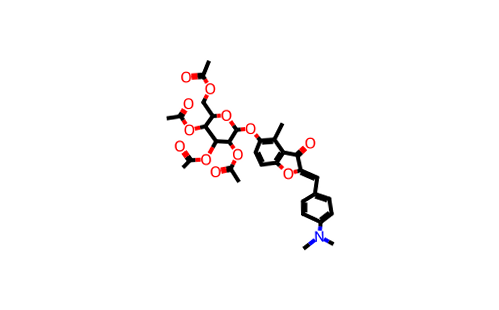 CC(=O)OCC1OC(Oc2ccc3c(c2C)C(=O)/C(=C/c2ccc(N(C)C)cc2)O3)C(OC(C)=O)C(OC(C)=O)C1OC(C)=O